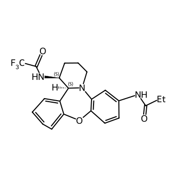 CCC(=O)Nc1ccc2c(c1)N1CCC[C@H](NC(=O)C(F)(F)F)[C@@H]1c1ccccc1O2